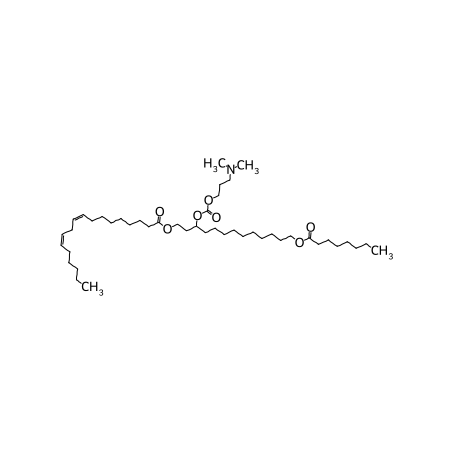 CCCCC/C=C\C/C=C\CCCCCCCC(=O)OCCC(CCCCCCCCCCOC(=O)CCCCCCC)OC(=O)OCCCN(C)C